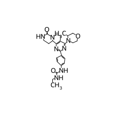 CCNC(=O)Nc1ccc(-c2nc3c(c(N4CCOCC4C)n2)CCN2C(=O)NCCC32)cc1